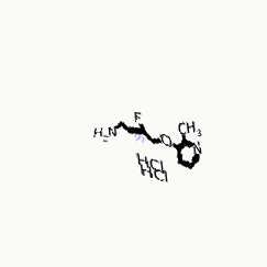 Cc1ncccc1OC/C(F)=C/CN.Cl.Cl